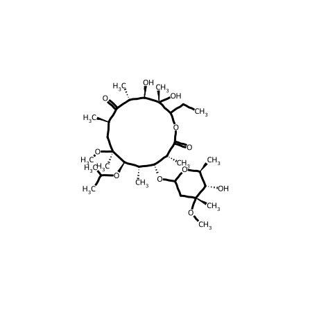 CCC1OC(=O)[C@H](C)[C@H](OC2C[C@@](C)(OC)[C@@H](O)[C@H](C)O2)[C@H](C)[C@@H](OC(C)C)[C@@](C)(OC)C[C@@H](C)C(=O)[C@H](C)[C@@H](O)[C@]1(C)O